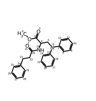 COC(=O)C(CN(c1ccccc1)c1ccccc1)NC(=O)CCc1ccccc1